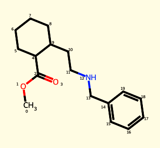 COC(=O)C1CCCCC1CCNCc1ccccc1